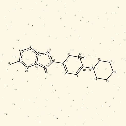 Cc1ccc2sc(C3=CC=C(N4CCCCC4)NC3)nc2n1